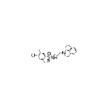 Cc1cc(S(=O)(=O)NCCCN2CCc3cccc4c3C2CC4)c(C)cc1Cl